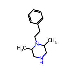 CC1CNCC(C)N1CCc1ccccc1